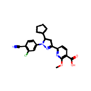 COc1nc(C2=NN(c3ccc(C#N)c(Cl)c3)C(C3CCCC3)C2)ccc1C(=O)O